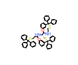 O=C(CCSC(c1ccccc1)(c1ccccc1)c1ccccc1)N[C@@H](CSC(c1ccccc1)(c1ccccc1)c1ccccc1)C(=O)NCCSC(c1ccccc1)(c1ccccc1)c1ccccc1